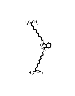 CC(C)CCCCCCCCCOC(=O)C1CCCCC1C(=O)OCCCCCCCCCC(C)C